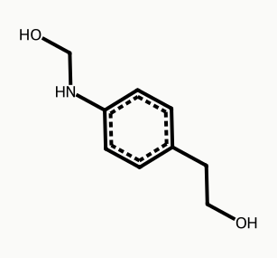 OCCc1ccc(NCO)cc1